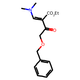 CCOC(=O)C(=CN(C)C)C(=O)COCc1ccccc1